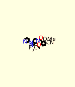 COc1c(C#N)ccc(OC(C)C(F)(F)F)c1C(=O)N1CCc2c(cnn2-c2cccnc2)C1